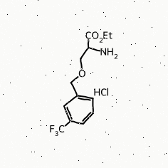 CCOC(=O)C(N)COCc1cccc(C(F)(F)F)c1.Cl